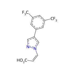 O=C(O)/C=C\n1cc(-c2cc(C(F)(F)F)cc(C(F)(F)F)c2)cn1